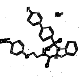 O=C([O-])c1ccc(OCCNC(=O)[C@@H]2Cc3ccccc3N2S(=O)(=O)c2ccc(-c3ccc(F)cc3)cc2)cc1.[Na+]